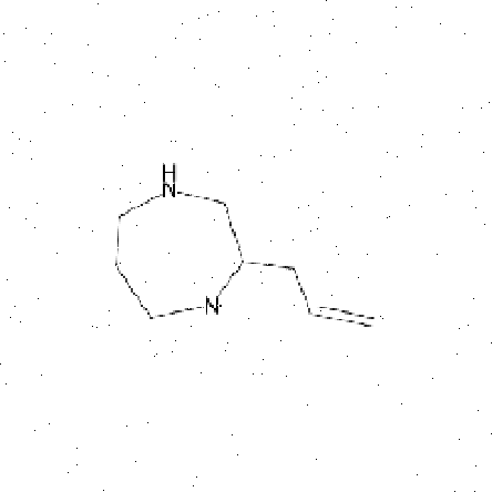 C=CCC1CNCCC[N]1